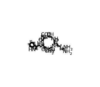 CC(C)C1C(=O)N[C@@H](CCCN=C(N)N)C(=O)NCC(=O)N[C@@H](CC(=O)O)C(=O)N[C@H](CCc2c[nH]c3ccccc23)C(=O)N1C